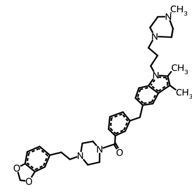 Cc1c(C)n(CCCN2CCN(C)CC2)c2ccc(Cc3cccc(C(=O)N4CCN(CCc5ccc6c(c5)OCO6)CC4)c3)cc12